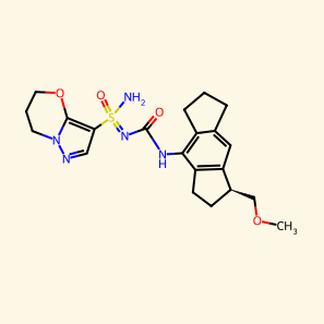 COC[C@H]1CCc2c1cc1c(c2NC(=O)N=S(N)(=O)c2cnn3c2OCCC3)CCC1